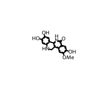 COc1cc2c3c([nH]c(=O)c2cc1O)-c1cc(O)c(O)cc1NC3